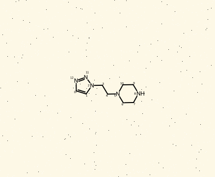 [c]1cn(CCN2CCNCC2)nn1